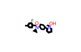 Cc1ccc(C(=O)N(C2CC2)[C@H]2CC[C@](CCO)(c3ccccn3)CC2)c(F)c1